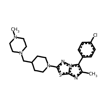 Cc1nc2sc(N3CCC(CN4CCN(C)CC4)CC3)nn2c1-c1ccc(Cl)cc1